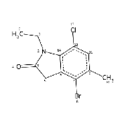 CCN1C(=O)Cc2c(Br)c(C)cc(Cl)c21